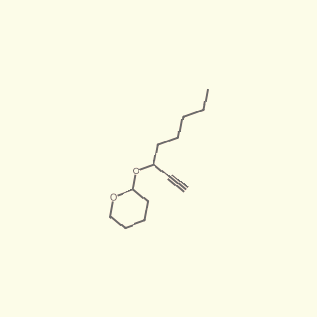 C#CC(CCCCC)OC1CCCCO1